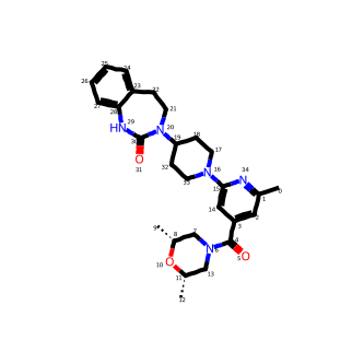 Cc1cc(C(=O)N2C[C@@H](C)O[C@@H](C)C2)cc(N2CCC(N3CCc4ccccc4NC3=O)CC2)n1